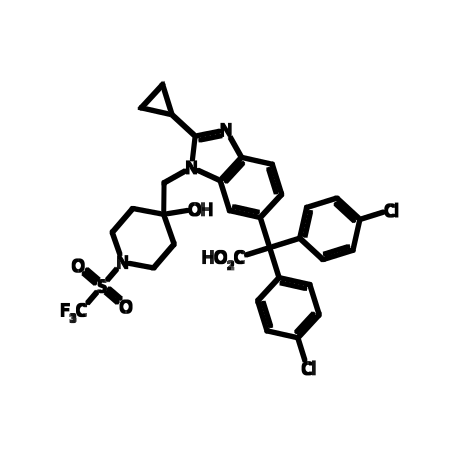 O=C(O)C(c1ccc(Cl)cc1)(c1ccc(Cl)cc1)c1ccc2nc(C3CC3)n(CC3(O)CCN(S(=O)(=O)C(F)(F)F)CC3)c2c1